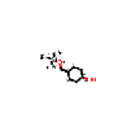 CC(C)[Si](OCC1CCC(O)CC1)(C(C)C)C(C)C